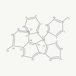 Cc1ccc([Si](c2ccccc2)(c2ccccc2)c2cccc3c(C)cccc23)cc1